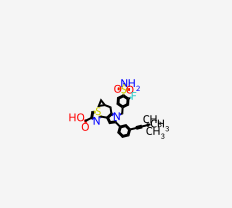 CC(C)(C)C#Cc1cccc(-c2cc(-c3nc(C(=O)O)cs3)c(CC3CC3)n2Cc2ccc(S(N)(=O)=O)c(F)c2)c1